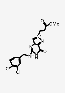 COC(=O)CC[N+]1=CC2N=C(NCc3ccc(Cl)c(Cl)c3)NC(=O)C2=N1